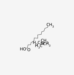 CCCCCCCCCCCCCC(=O)O.C[N+](C)(C)C